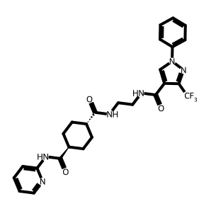 O=C(NCCNC(=O)[C@H]1CC[C@H](C(=O)Nc2ccccn2)CC1)c1cn(-c2ccccc2)nc1C(F)(F)F